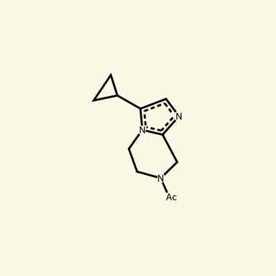 CC(=O)N1CCn2c(C3CC3)cnc2C1